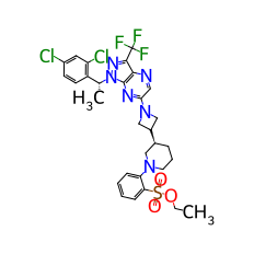 CCOS(=O)(=O)c1ccccc1N1CCC[C@H](C2CN(c3cnc4c(C(F)(F)F)nn([C@H](C)c5ccc(Cl)cc5Cl)c4n3)C2)C1